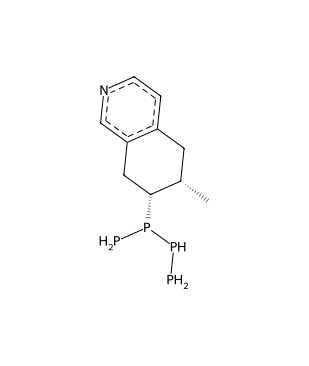 C[C@H]1Cc2ccncc2C[C@H]1P(P)PP